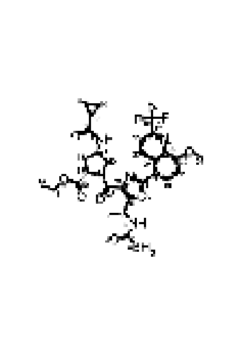 BC(=O)N[C@@H](C)c1oc(-c2ccc(OC)c3nc(C(F)(F)F)ccc23)nc1C(=O)N1C[C@H](NC(=O)C2CC2)C[C@H]1C(=O)OCC